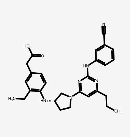 CCCc1cc(N2CC[C@H](Nc3ccc(CC(=O)O)cc3CC)C2)nc(Nc2cccc(C#N)c2)n1